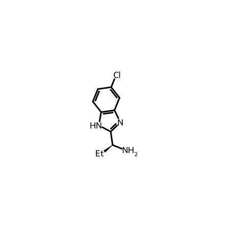 CC[C@H](N)c1nc2cc(Cl)ccc2[nH]1